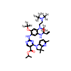 [2H]C([2H])([2H])Oc1cc(N(CCN(C([2H])([2H])[2H])C([2H])([2H])[2H])C([2H])([2H])[2H])c(NC(=O)C=C)cc1Nc1ncc(C(=O)OC(C)C)c(N2CC(C)(C)c3nc(C)ccc32)n1